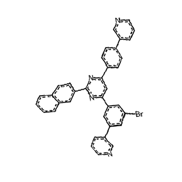 Brc1cc(-c2cccnc2)cc(-c2cc(-c3ccc(-c4cccnc4)cc3)nc(-c3ccc4ccccc4c3)n2)c1